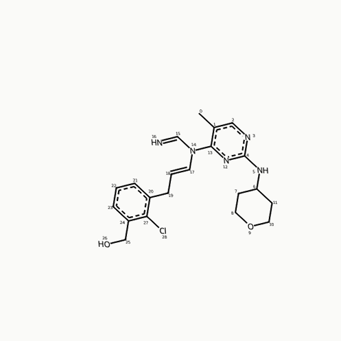 Cc1cnc(NC2CCOCC2)nc1N(C=N)/C=C/Cc1cccc(CO)c1Cl